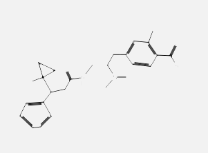 CN(C)[C@H](CNC(=O)CC(c1ccccc1)C1(C(F)(F)F)CC1)Cc1ccc(C(N)=O)c(F)c1